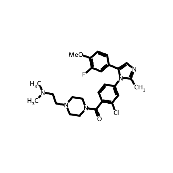 COc1ccc(-c2cnc(C)n2-c2ccc(C(=O)N3CCN(CCN(C)C)CC3)c(Cl)c2)cc1F